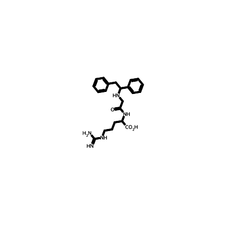 N=C(N)NCCCC(NC(=O)CNC(Cc1ccccc1)c1ccccc1)C(=O)O